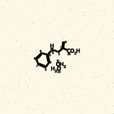 C=C(CBc1ccccc1)C(=O)O.O.O